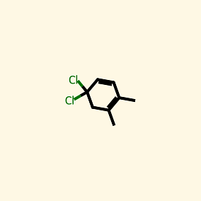 CC1=C(C)CC(Cl)(Cl)C=C1